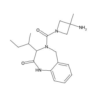 CCC(C)C1C(=O)Nc2ccccc2CN1C(=O)N1CC(C)(N)C1